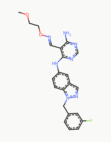 COCCO/N=C/c1c(N)ncnc1Nc1ccc2c(cnn2Cc2cccc(F)c2)c1